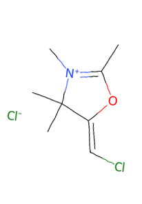 CC1=[N+](C)C(C)(C)/C(=C/Cl)O1.[Cl-]